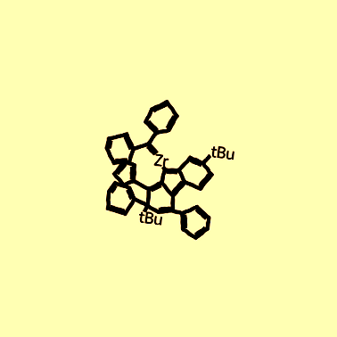 CC(C)(C)c1ccc2c(c1)=[C]([Zr]=[C](c1ccccc1)c1ccccc1)C1=C(C3=CC=CC3)C(c3ccccc3)(C(C)(C)C)C=C(c3ccccc3)C=21